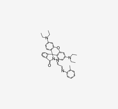 CCN(CC)c1ccc2c(c1)Oc1cc(N(CC)CC)ccc1C21c2ccccc2C(=O)N1/N=C/C=N/c1ccccc1C